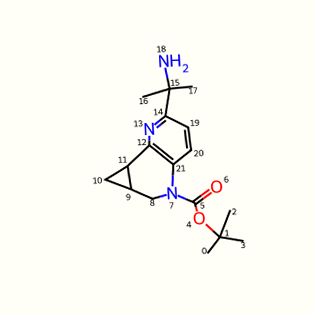 CC(C)(C)OC(=O)N1CC2CC2c2nc(C(C)(C)N)ccc21